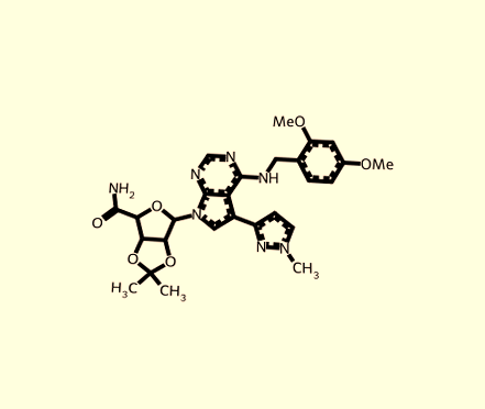 COc1ccc(CNc2ncnc3c2c(-c2ccn(C)n2)cn3C2OC(C(N)=O)C3OC(C)(C)OC32)c(OC)c1